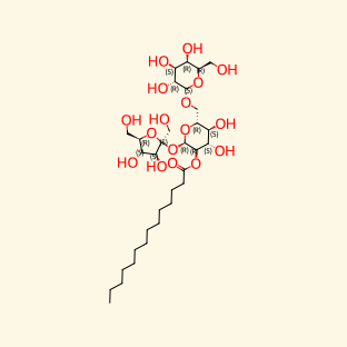 CCCCCCCCCCCCCC(=O)O[C@H]1[C@@H](O[C@]2(CO)O[C@H](CO)[C@@H](O)[C@@H]2O)O[C@H](CO[C@H]2O[C@H](CO)[C@H](O)[C@H](O)[C@H]2O)[C@@H](O)[C@@H]1O